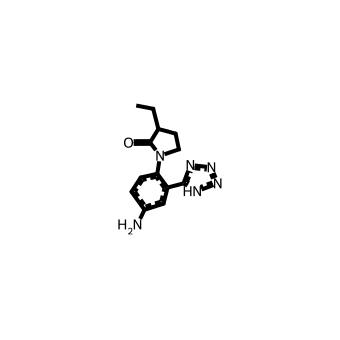 CCC1CCN(c2ccc(N)cc2-c2nnn[nH]2)C1=O